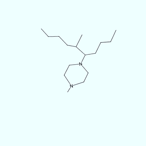 CCCCC(C)C(CCCC)N1CCN(C)CC1